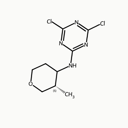 C[C@@H]1COCCC1Nc1nc(Cl)nc(Cl)n1